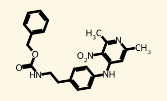 Cc1cc(Nc2ccc(CCNC(=O)OCc3ccccc3)cc2)c([N+](=O)[O-])c(C)n1